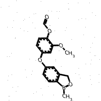 COc1cc(Oc2ccc3c(c2)COB3C)ccc1OC=O